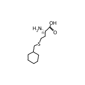 N[C@@H](CCSCC1CCCCC1)C(=O)O